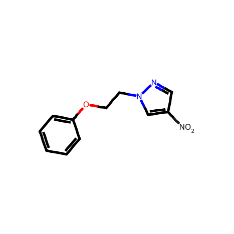 O=[N+]([O-])c1cnn(CCOc2ccccc2)c1